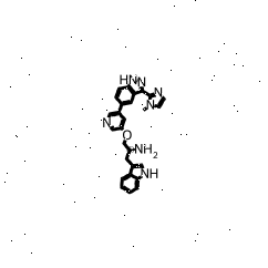 Cn1ccnc1-c1n[nH]c2ccc(-c3cncc(OC[C@@H](N)Cc4c[nH]c5ccccc45)c3)cc12